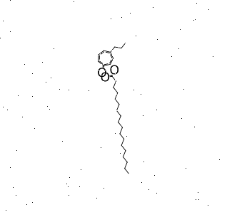 CCCCCCCCCCCCCCCCCC(=O)Oc1cc(CCC)cccc1=O